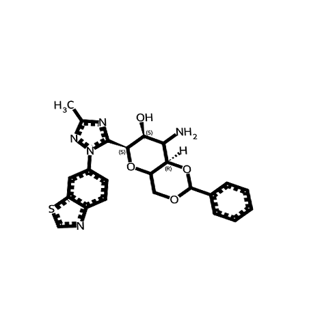 Cc1nc([C@@H]2OC3COC(c4ccccc4)O[C@@H]3C(N)[C@@H]2O)n(-c2ccc3ncsc3c2)n1